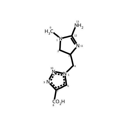 CN1CC(Cn2cc(C(=O)O)nn2)N=C1N